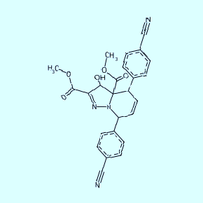 COC(=O)C1=NN2C(c3ccc(C#N)cc3)C=CC(c3ccc(C#N)cc3)C2(C(=O)OC)C1O